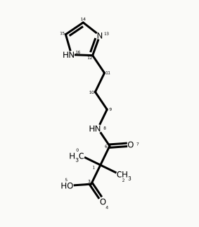 CC(C)(C(=O)O)C(=O)NCCCc1ncc[nH]1